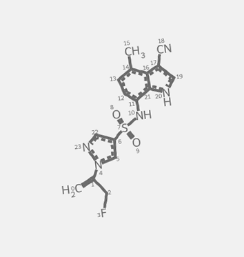 C=C(CF)n1cc(S(=O)(=O)Nc2ccc(C)c3c(C#N)c[nH]c23)cn1